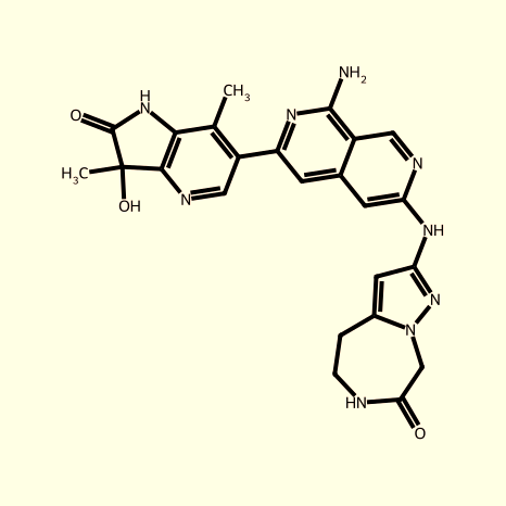 Cc1c(-c2cc3cc(Nc4cc5n(n4)CC(=O)NCC5)ncc3c(N)n2)cnc2c1NC(=O)C2(C)O